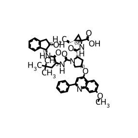 C=C[C@@H]1C[C@]1(NC(=O)[C@@H]1C[C@@H](Oc2cc(-c3ccccc3)nc3cc(OC)ccc23)CN1C(=O)NC(CC(C)(C)C)C(=O)N[C@H]1c2ccccc2C[C@H]1O)C(=O)O